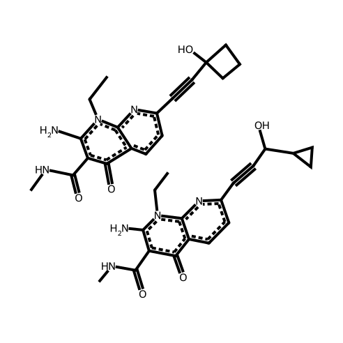 CCn1c(N)c(C(=O)NC)c(=O)c2ccc(C#CC(O)C3CC3)nc21.CCn1c(N)c(C(=O)NC)c(=O)c2ccc(C#CC3(O)CCC3)nc21